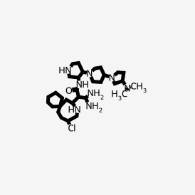 CN(C)C1CCN(C2CCN(C3CCNCC3NC(=O)C(C(N)N)C3CC4(CCCCC4)CCC(Cl)CN3)CC2)C1